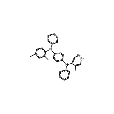 CC/C=C(C)\C(=C/CC)N(c1ccccc1)c1ccc(N(c2ccccc2)c2ccc(C)cc2C)cc1